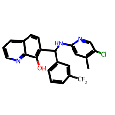 Cc1cc(NC(c2cccc(C(F)(F)F)c2)c2ccc3cccnc3c2O)ncc1Cl